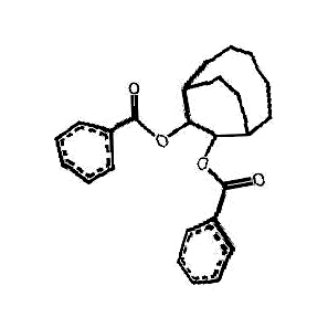 O=C(OC1C2CCCCCC(CC2)C1OC(=O)c1ccccc1)c1ccccc1